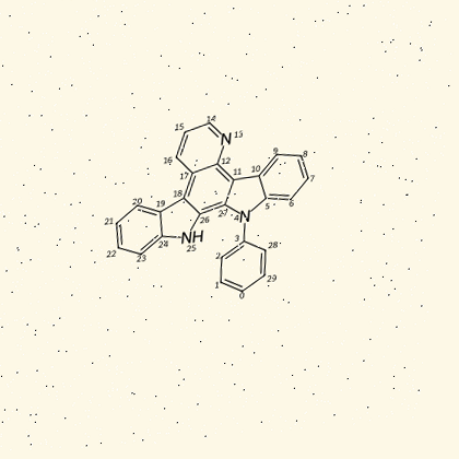 c1ccc(-n2c3ccccc3c3c4ncccc4c4c5ccccc5[nH]c4c32)cc1